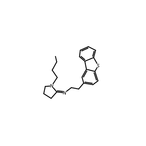 CCCCN1CCCC1=NCCc1ccc2sc3ccccc3c2c1